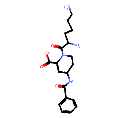 NCCCCC(N)C(=O)N1CCC(NC(=O)c2ccccc2)CC1C(=O)O